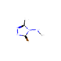 CC(C)Nn1c(C(F)(F)F)n[nH]c1=S